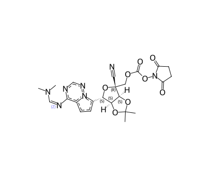 CN(C)/C=N\c1ncnn2c([C@@H]3O[C@](C#N)(COC(=O)ON4C(=O)CCC4=O)[C@H]4OC(C)(C)O[C@@H]34)ccc12